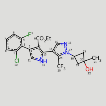 CCOC(=O)c1c(-c2c(F)cccc2Cl)c[nH]c1-c1cnn(C2CC(C)(O)C2)c1C(F)(F)F